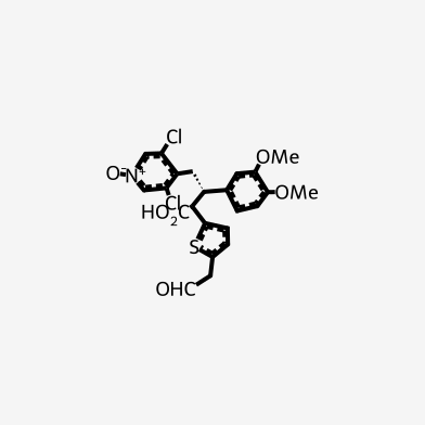 COc1ccc([C@@H](Cc2c(Cl)c[n+]([O-])cc2Cl)C(C(=O)O)c2ccc(CC=O)s2)cc1OC